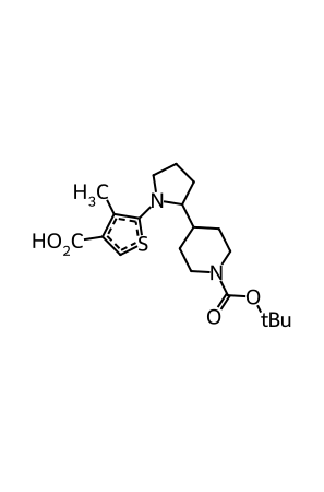 Cc1c(C(=O)O)csc1N1CCCC1C1CCN(C(=O)OC(C)(C)C)CC1